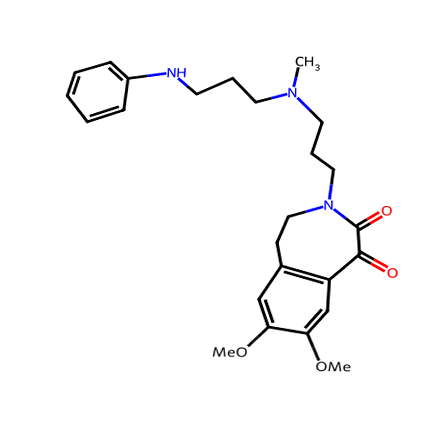 COc1cc2c(cc1OC)C(=O)C(=O)N(CCCN(C)CCCNc1ccccc1)CC2